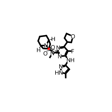 CCS(=O)(=O)N1[C@@H]2CCC[C@H]1C[C@@H](N(C)c1nc(Nc3cc(C)[nH]n3)c(F)c(C3CCOC3)n1)C2